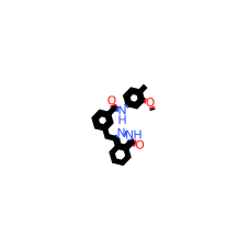 COc1cc(NC(=O)c2cccc(Cc3n[nH]c(=O)c4c3CCCC4)c2)ccc1C